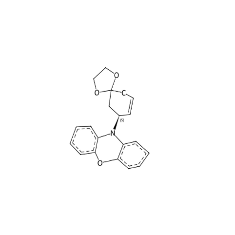 C1=C[C@@H](N2c3ccccc3Oc3ccccc32)CC2(C1)OCCO2